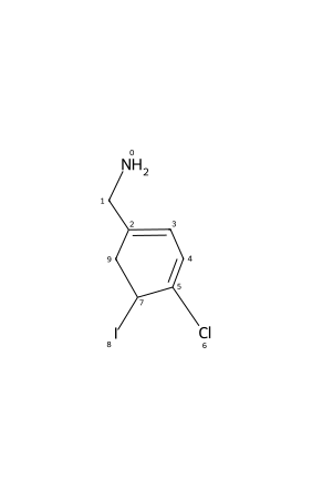 NCC1=CC=C(Cl)C(I)C1